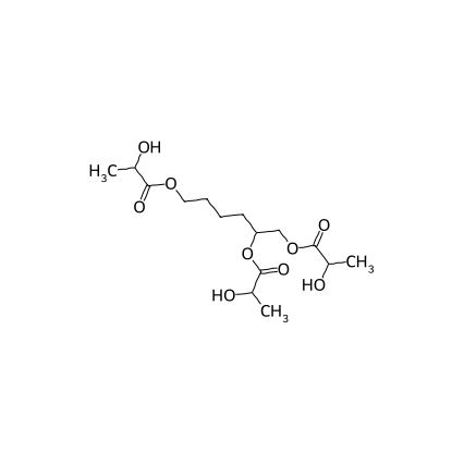 CC(O)C(=O)OCCCCC(COC(=O)C(C)O)OC(=O)C(C)O